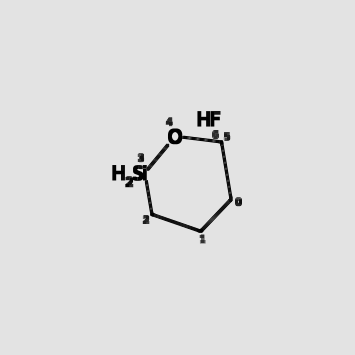 C1CC[SiH2]OC1.F